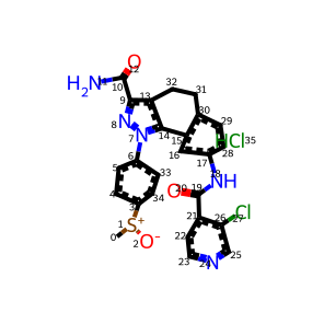 C[S+]([O-])c1ccc(-n2nc(C(N)=O)c3c2-c2cc(NC(=O)c4ccncc4Cl)ccc2CC3)cc1.Cl